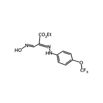 CCOC(=O)C(/C=N/O)=N/Nc1ccc(OC(F)(F)F)cc1